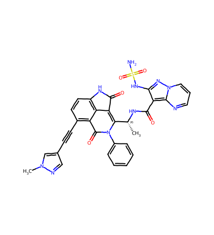 C[C@@H](NC(=O)c1c(NS(N)(=O)=O)nn2cccnc12)c1c2c3c(ccc(C#Cc4cnn(C)c4)c3c(=O)n1-c1ccccc1)NC2=O